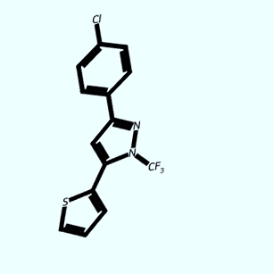 FC(F)(F)n1nc(-c2ccc(Cl)cc2)cc1-c1cccs1